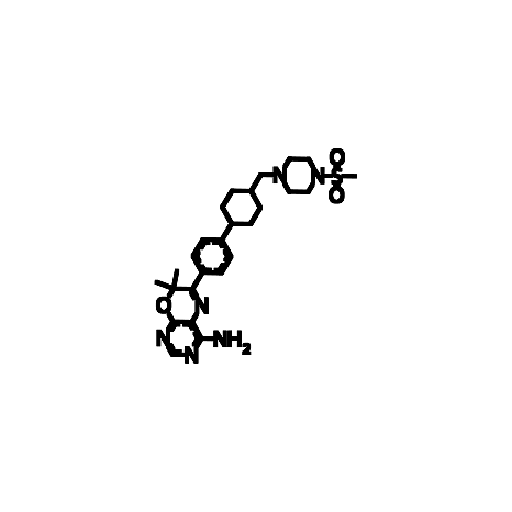 CC1(C)Oc2ncnc(N)c2N=C1c1ccc(C2CCC(CN3CCN(S(C)(=O)=O)CC3)CC2)cc1